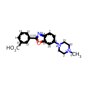 CN1CCN(c2ccc3nc(-c4cccc(C(=O)O)c4)oc3c2)CC1